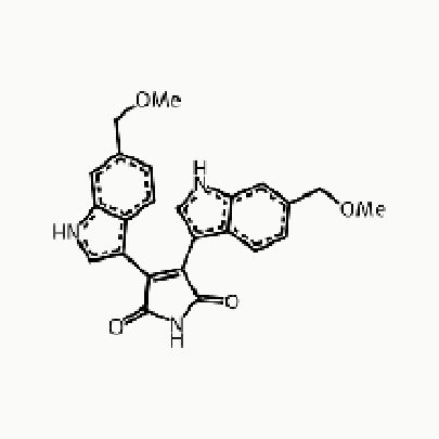 COCc1ccc2c(C3=C(c4c[nH]c5cc(COC)ccc45)C(=O)NC3=O)c[nH]c2c1